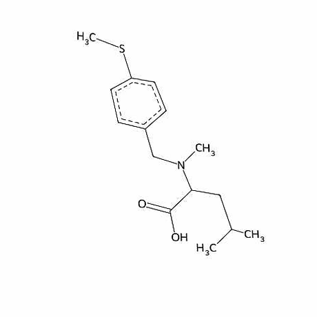 CSc1ccc(CN(C)C(CC(C)C)C(=O)O)cc1